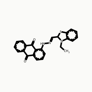 CCN1c2ccccc2SC1C=NNc1cccc2c1C(=O)c1ccccc1C2=O